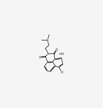 CN(C)CCN1C(=O)c2cccc3c(Cl)ccc(c23)C1=O.Cl